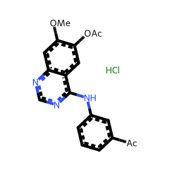 COc1cc2ncnc(Nc3cccc(C(C)=O)c3)c2cc1OC(C)=O.Cl